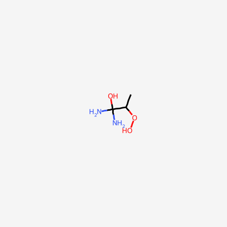 CC(OO)C(N)(N)O